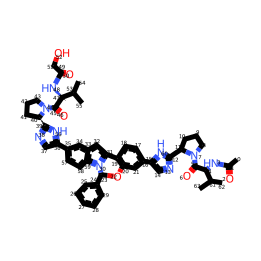 CC(=O)NC(C(=O)N1CCCC1c1ncc(-c2ccc3c(c2)OC(c2ccccc2)n2c-3cc3cc(-c4cnc([C@@H]5CCCN5C(=O)[C@@H](NC(=O)CO)C(C)C)[nH]4)ccc32)[nH]1)C(C)C